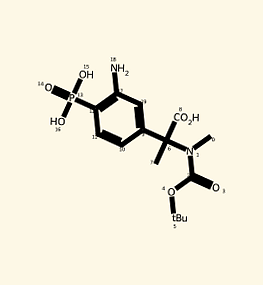 CN(C(=O)OC(C)(C)C)C(C)(C(=O)O)c1ccc(P(=O)(O)O)c(N)c1